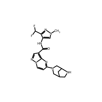 Cn1cc(NC(=O)c2cnn3ccc(N4CC5CNC(C5)C4)nc23)c(C(F)F)n1